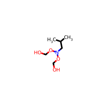 CC(C)CN(OCO)OCO